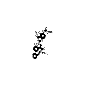 Cc1c(NC(=O)OC(C)(C)C)ccc2nc(N(C)CC(C(=O)N(C)CCc3ccncc3)c3ccccc3)oc(=O)c12